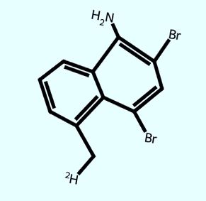 [2H]Cc1cccc2c(N)c(Br)cc(Br)c12